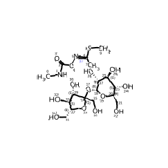 CNC(=O)O/N=C(\C)SC.OC[C@H]1O[C@@](CO)(O[C@H]2O[C@H](CO)[C@@H](O)[C@H](O)[C@H]2O)[C@@H](O)[C@@H]1O